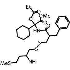 CCC(=O)OC(NC(=O)C(CSSCC([NH])CCSC)Cc1ccccc1)(C(=O)OC)C1CCCCC1